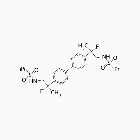 CC(C)S(=O)(=O)NCC(C)(F)c1ccc(-c2ccc(C(C)(F)CNS(=O)(=O)C(C)C)cc2)cc1